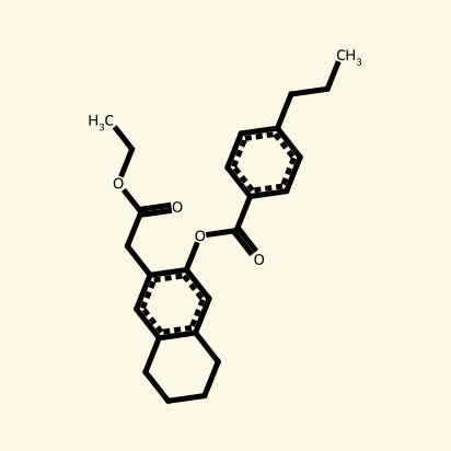 CCCc1ccc(C(=O)Oc2cc3c(cc2CC(=O)OCC)CCCC3)cc1